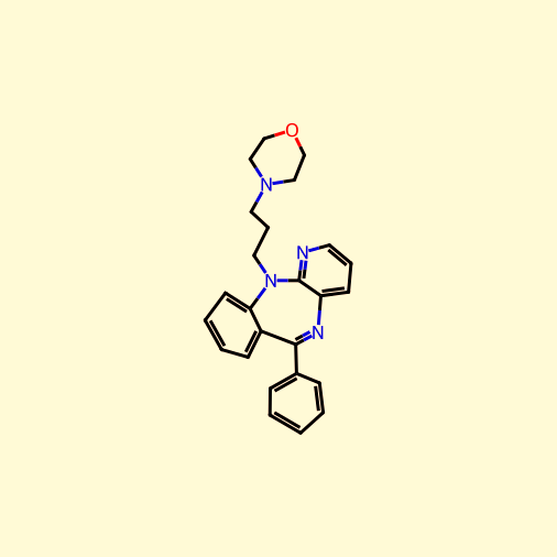 c1ccc(C2=Nc3cccnc3N(CCCN3CCOCC3)c3ccccc32)cc1